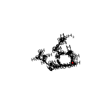 C[C@@H]1NC(=O)[C@H]([C@@H](C)O)NC(=O)[C@H](Cc2cnc[nH]2)NC(=O)[C@H](CO)NC(=O)[C@H](Cc2cnc[nH]2)NC(=O)[C@H](NC(=O)CC[C@H](NC(=O)c2ccc(NCc3cnc4nc(N)[nH]c(=O)c4n3)cc2)C(=O)O)Cc2cn(nn2)CCCC[C@H](C(=O)NCC(=O)N[C@H](Cc2ccccc2)C(=O)N[C@H](CCCCNC(=O)CN2CCN(CC(=O)O)CCN(CC(=O)O)CCN(CC(=O)O)CC2)C(=O)O)NC1=O